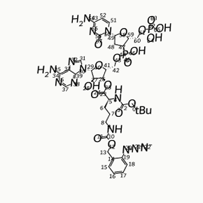 CC(C)(C)OC(=O)N[C@@H](CCCNC(=O)OCc1ccccc1N=[N+]=[N-])C(=O)O[C@H]1[C@@H](O)[C@H](n2cnc3c(N)ncnc32)O[C@@H]1COP(=O)(O)[C@H]1C[C@H](n2ccc(N)nc2=O)O[C@@H]1COP(=O)(O)O